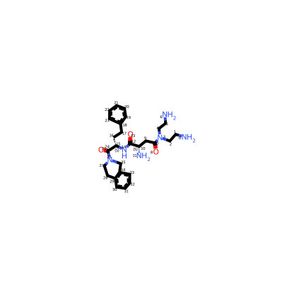 NCCN(CCN)C(=O)C[C@H](N)C(=O)N[C@@H](CCc1ccccc1)C(=O)N1CCc2ccccc2C1